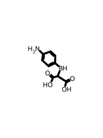 Nc1ccc(BC(C(=O)O)C(=O)O)cc1